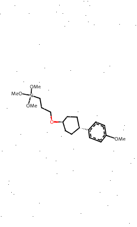 COc1ccc([C@H]2CC[C@H](OCCC[Si](OC)(OC)OC)CC2)cc1